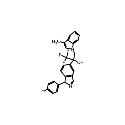 Cc1cn(CC(O)(c2ccc3c(c2)C=NC3c2ccc(F)cc2)C(F)(F)F)c2ccccc12